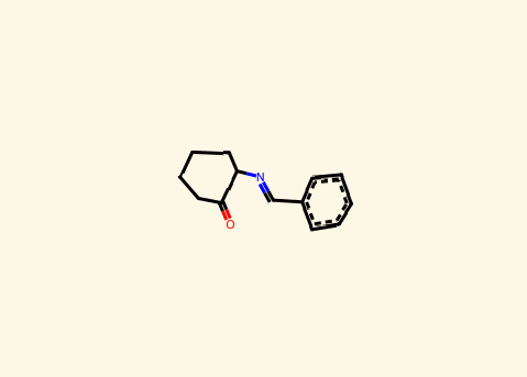 O=C1CCCCC1N=Cc1ccccc1